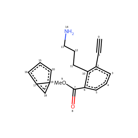 C#Cc1cccc(C(=O)OC)c1CCCN.c1cc2cc-2c1